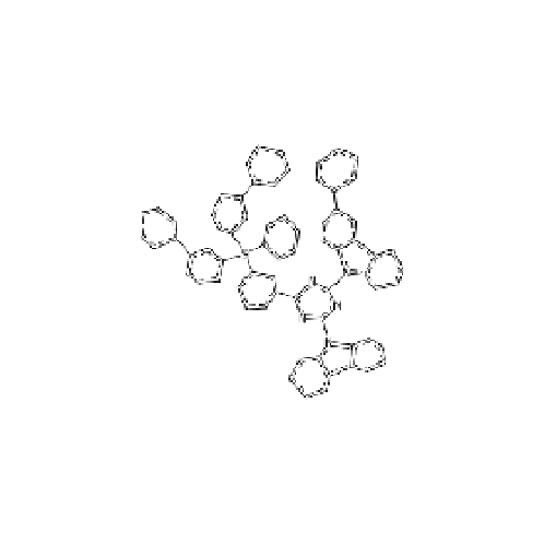 c1ccc(-c2cccc([Si](c3ccccc3)(c3cccc(-c4ccccc4)c3)c3cccc(-c4nc(-n5c6ccccc6c6ccccc65)nc(-n5c6ccccc6c6cc(-c7ccccc7)ccc65)n4)c3)c2)cc1